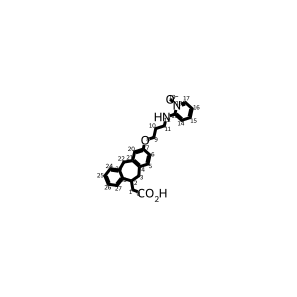 O=C(O)CC1Cc2ccc(OCCCNc3cccc[n+]3[O-])cc2Cc2ccccc21